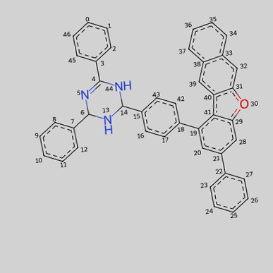 c1ccc(C2=NC(c3ccccc3)NC(c3ccc(-c4cc(-c5ccccc5)cc5oc6cc7ccccc7cc6c45)cc3)N2)cc1